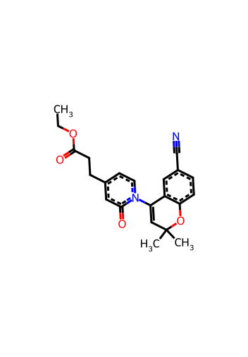 CCOC(=O)CCc1ccn(C2=CC(C)(C)Oc3ccc(C#N)cc32)c(=O)c1